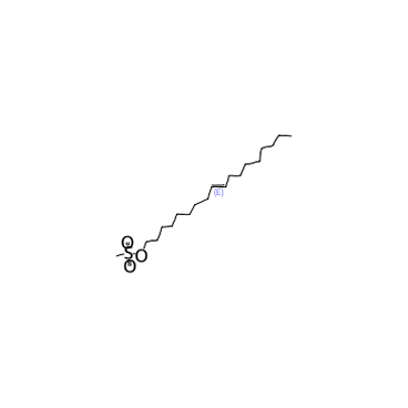 CCCCCCCC/C=C/CCCCCCCCOS(C)(=O)=O